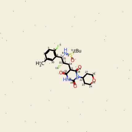 Cc1ccc(F)c([C@H](N[S+]([O-])C(C)(C)C)[C@@H](F)CC2C(=O)NC(=O)N(C3CCOCC3)C2=O)c1